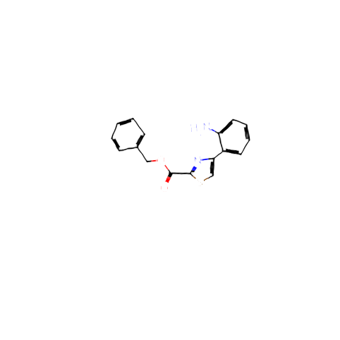 Nc1ccccc1-c1csc(C(=O)OCc2ccccc2)n1